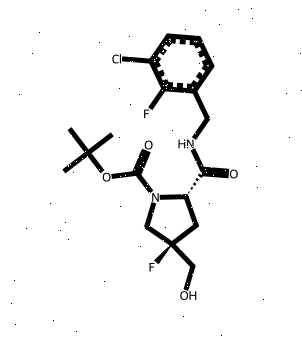 CC(C)(C)OC(=O)N1C[C@@](F)(CO)C[C@H]1C(=O)NCc1cccc(Cl)c1F